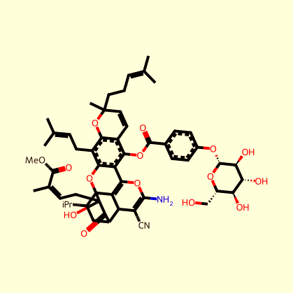 COC(=O)/C(C)=C\CC1(O)C(=O)C2CC(C(C)C)C13Oc1c(CC=C(C)C)c4c(c(OC(=O)c5ccc(O[C@H]6O[C@@H](CO)[C@H](O)[C@@H](O)[C@@H]6O)cc5)c1C1=C3C2C(C#N)=C(N)O1)C=CC(C)(CCC=C(C)C)O4